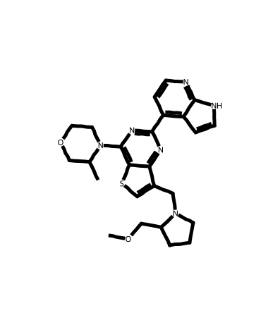 COCC1CCCN1Cc1csc2c(N3CCOCC3C)nc(-c3ccnc4[nH]ccc34)nc12